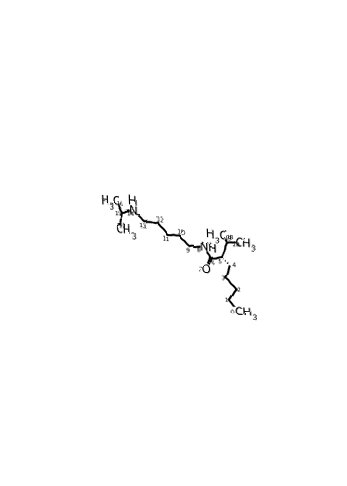 CCCCC[C@H](C(=O)NCCCCCNC(C)C)C(C)C